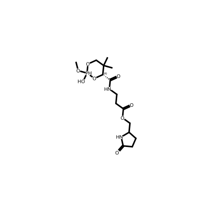 CO[PH]1(O)OCC(C)(C)[C@H](C(=O)NCCC(=O)OCC2CCC(=O)N2)O1